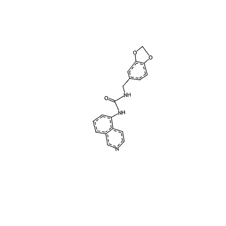 O=C(NCc1ccc2c(c1)OCO2)Nc1cccc2cnccc12